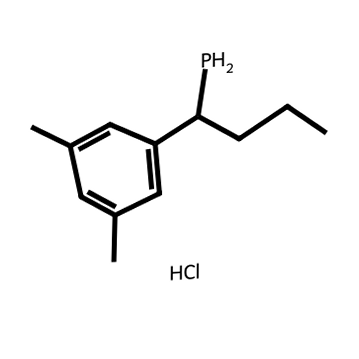 CCCC(P)c1cc(C)cc(C)c1.Cl